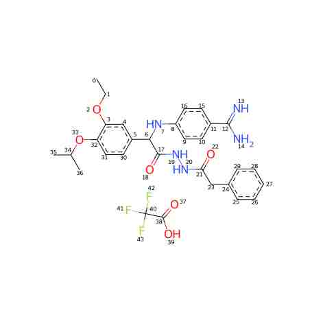 CCOc1cc(C(Nc2ccc(C(=N)N)cc2)C(=O)NNC(=O)Cc2ccccc2)ccc1OC(C)C.O=C(O)C(F)(F)F